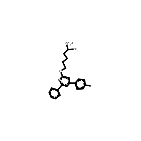 CC(CCCCOc1cc(-c2ccc(F)cc2)cc(-c2ccccc2)n1)C(=O)O